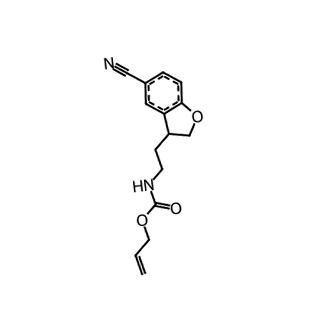 C=CCOC(=O)NCCC1COc2ccc(C#N)cc21